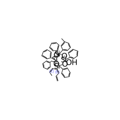 C=C/C=C(\C=C/C)[Si]1(c2ccccc2)O[Si](O)(c2ccccc2)O[Si](c2ccccc2)(c2cccc(C)c2)O[Si](c2ccccc2)(c2ccccc2)O1